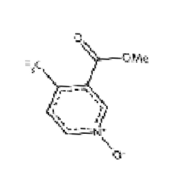 COC(=O)c1c[n+]([O-])ccc1C(F)(F)F